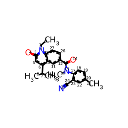 CCn1c(=O)cc(C(C)C)c2cc(C(=O)N(C)c3ccc(C)cc3C#N)ccc21